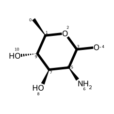 C[C@H]1OC([O])[C@@H](N)[C@@H](O)[C@@H]1O